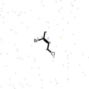 C/C(Br)=C/CCl